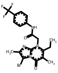 CCc1c(C)c(=O)n2c(Br)c(C)nc2n1CC(=O)Nc1ccc(C(F)(F)F)cc1